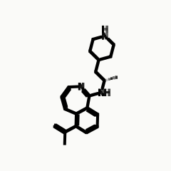 C=C(C)c1cccc2c1C=C=CN=C2N[C@@H](C)CC1CCNCC1